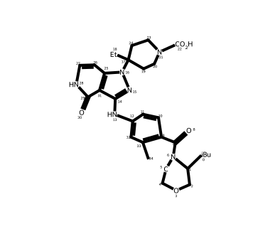 CCC(C)C1COCCN1C(=O)c1ccc(Nc2nn(C3(CC)CCN(C(=O)O)CC3)c3cc[nH]c(=O)c23)cc1C